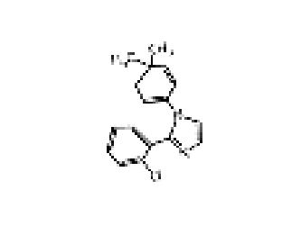 CC1(C)C=CC(n2ccnc2-c2ccccc2Cl)=CC1